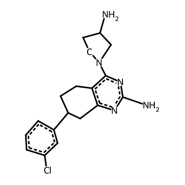 Nc1nc2c(c(N3CCC(N)C3)n1)CCC(c1cccc(Cl)c1)C2